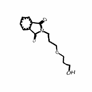 O=C1c2ccccc2C(=O)N1CCCOCCCO